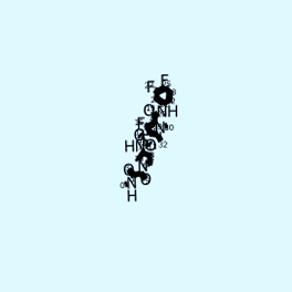 CNC(=O)C(=O)N1CC[C@@H](NS(=O)(=O)c2c(F)c(C(=O)Nc3ccc(F)c(F)c3)n(C)c2C)C1